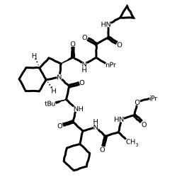 CCCC(NC(=O)[C@@H]1C[C@@H]2CCCC[C@@H]2N1C(=O)[C@@H](NC(=O)C(NC(=O)C(C)NC(=O)OC(C)C)C1CCCCC1)C(C)(C)C)C(=O)C(=O)NC1CC1